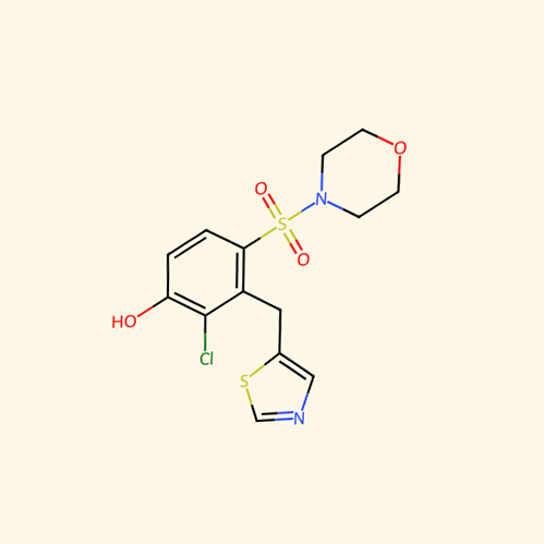 O=S(=O)(c1ccc(O)c(Cl)c1Cc1cncs1)N1CCOCC1